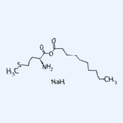 CCCCCCCCCC(=O)OC(=O)[C@@H](N)CCSC.[NaH]